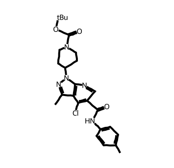 Cc1ccc(NC(=O)c2cnc3c(c(C)nn3C3CCN(C(=O)OC(C)(C)C)CC3)c2Cl)cc1